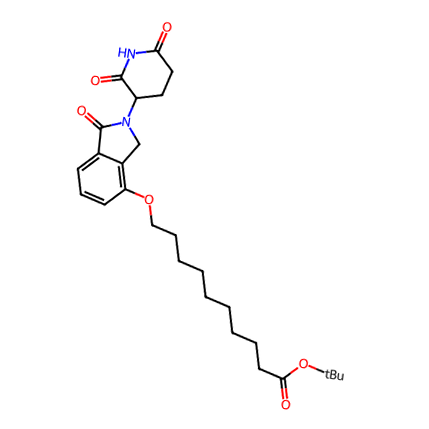 CC(C)(C)OC(=O)CCCCCCCCCOc1cccc2c1CN(C1CCC(=O)NC1=O)C2=O